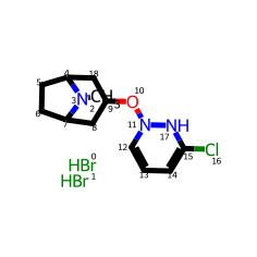 Br.Br.CN1C2CCC1CC(ON1C=CC=C(Cl)N1)C2